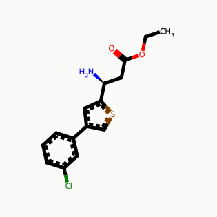 CCOC(=O)C[C@H](N)c1cc(-c2cccc(Cl)c2)cs1